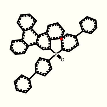 O=P(c1ccc(-c2ccccc2)cc1)(c1ccc(-c2ccccc2)cc1)c1cc2c3ccccc3c3ccccc3c2c2ccccc12